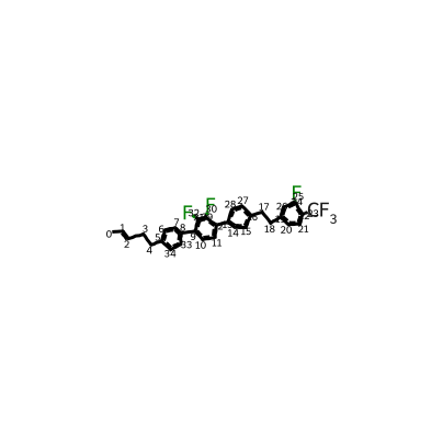 C/C=C/CCc1ccc(-c2ccc(-c3ccc(CCc4ccc(C(F)(F)F)c(F)c4)cc3)c(F)c2F)cc1